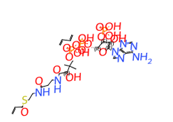 C=CC(=O)SCCNC(=O)CCNC(=O)[C@H](O)C(C)(C)COP(=O)(O)OP(=O)(O)OC[C@H]1O[C@@H](n2cnc3c(N)ncnc32)[C@H](O)[C@@H]1OP(=O)(O)O.C=CC=C